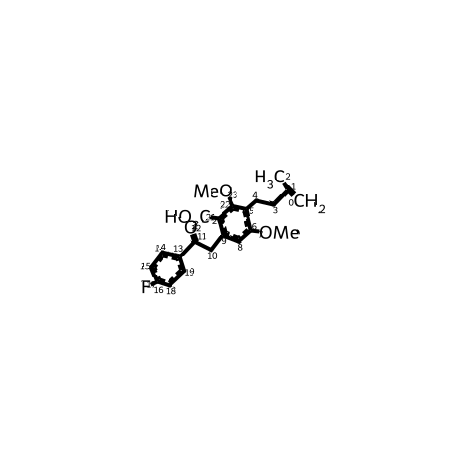 C=C(C)CCc1c(OC)cc(CC(=O)c2ccc(F)cc2)c(C(=O)O)c1OC